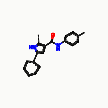 Cc1ccc(NC(=O)c2cc(-c3ccccc3)[nH]c2C)cc1